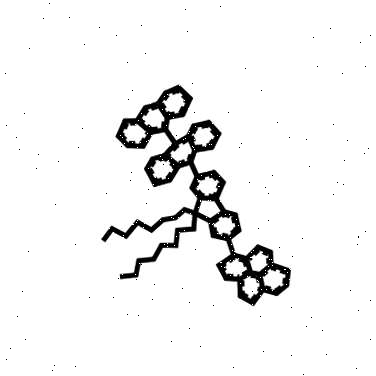 CCCCCCCCC1(CCCCCCCC)c2cc(-c3c4ccccc4c(-c4c5ccccc5cc5ccccc45)c4ccccc34)ccc2-c2ccc(-c3ccc4ccc5cccc6ccc3c4c56)cc21